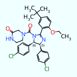 CCOc1ccc(C(C)(C)C)cc1C1=N[C@@H](c2ccc(Cl)cc2)[C@@H](c2ccc(Cl)cc2)N1C(=O)N1CCNC(=O)C1